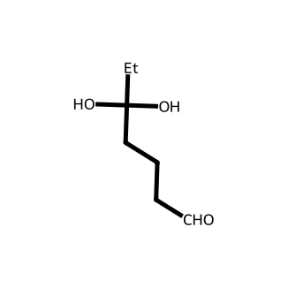 CCC(O)(O)CCCC=O